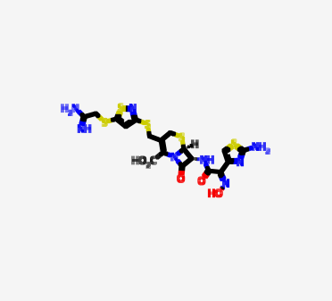 N=C(N)CSc1cc(SCC2=C(C(=O)O)N3C(=O)[C@@H](NC(=O)/C(=N\O)c4csc(N)n4)[C@@H]3SC2)ns1